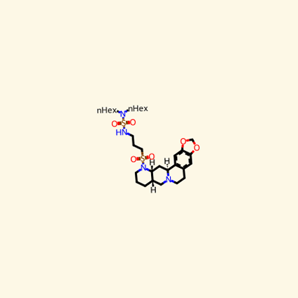 CCCCCCN(CCCCCC)S(=O)(=O)NCCCS(=O)(=O)N1CCC[C@H]2CN3CCc4cc5c(cc4[C@@H]3C[C@H]21)OCO5